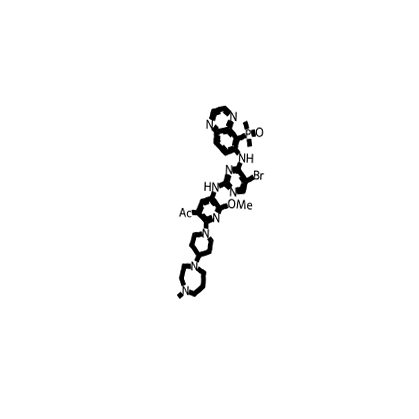 COc1nc(N2CCC(N3CCCN(C)CC3)CC2)c(C(C)=O)cc1Nc1ncc(Br)c(Nc2ccc3nccnc3c2P(C)(C)=O)n1